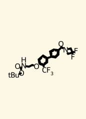 CC(C)(C)OC(=O)NCCOc1ccc(-c2ccc(C(=O)N3CC(F)(F)C3)cc2)cc1C(F)(F)F